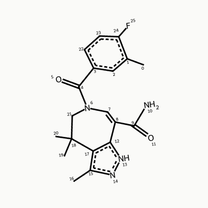 Cc1cc(C(=O)N2C=C(C(N)=O)c3[nH]nc(C)c3C(C)(C)C2)ccc1F